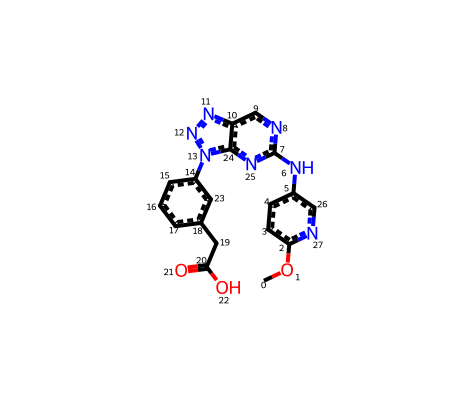 COc1ccc(Nc2ncc3nnn(-c4cccc(CC(=O)O)c4)c3n2)cn1